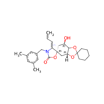 C=C/C=C1\N(Cc2cc(C)cc(C)c2)C(=O)O[C@@]12C[C@@H](O)C1OC3(CCCCC3)O[C@@H]1C2